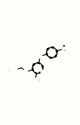 CCOc1cc(Oc2ccc([N+](=O)[O-])cc2)cnc1C